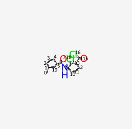 Cc1cccc(C(=O)Nc2cccc(C(=O)Cl)c2Cl)c1